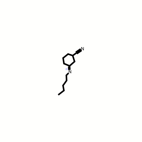 CCCCC/N=C1\CCCC(C#N)C1